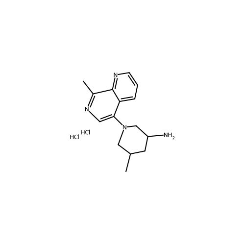 Cc1ncc(N2CC(C)CC(N)C2)c2cccnc12.Cl.Cl